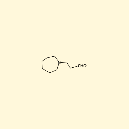 O=[C]CCN1CCCCCC1